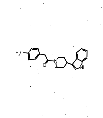 O=C(Cc1ccc(C(F)(F)F)cc1)N1CCC(c2c[nH]c3ccccc23)CC1